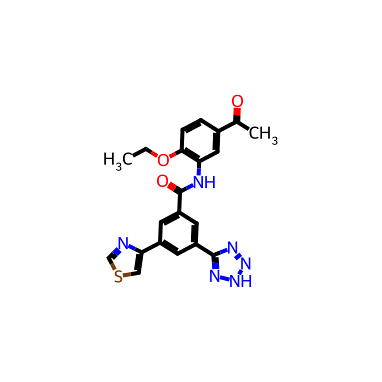 CCOc1ccc(C(C)=O)cc1NC(=O)c1cc(-c2cscn2)cc(-c2nn[nH]n2)c1